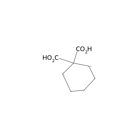 O=C(O)C1(C(=O)O)[CH]CCCC1